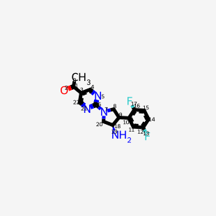 CC(=O)c1cnc(N2CC(c3cc(F)ccc3F)[C@@H](N)C2)nc1